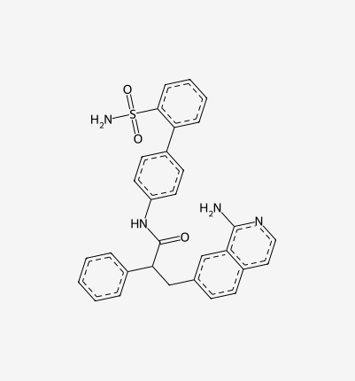 Nc1nccc2ccc(CC(C(=O)Nc3ccc(-c4ccccc4S(N)(=O)=O)cc3)c3ccccc3)cc12